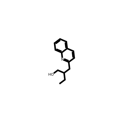 CCC(CO)Cc1ccc2ccccc2n1